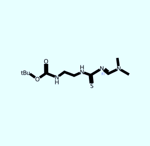 CN(C)/C=N/C(=S)NCCNC(=O)OC(C)(C)C